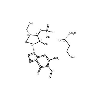 CSCC[C@H](N)C(=O)O.Nc1nc2c(ncn2[C@@H]2O[C@H](CO)[C@@H](OP(=O)(O)O)[C@H]2O)c(=O)n1[SH]=O